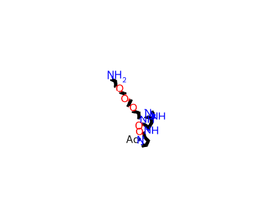 CC(=O)N1CCCC1C(=O)NC(Cc1cnc[nH]1)C(=O)NCCCOCCOCCOCCCN